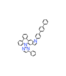 c1ccc(-c2ccc(-c3ccc(-n4ccc5cc6c(cc54)-c4ccccc4-c4ccccc4N6c4nccc(-c5ccccc5)n4)cc3)cc2)cc1